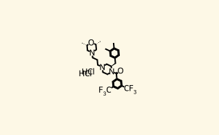 Cc1ccc(C[C@@H]2CN(CCCN3C[C@@H](C)O[C@@H](C)C3)CCN2C(=O)c2cc(C(F)(F)F)cc(C(F)(F)F)c2)cc1C.Cl.Cl